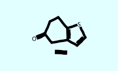 C=C.O=C1CCc2sccc2C1